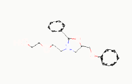 OCCOCCN1CC(COc2ccccc2)OC1c1ccccc1